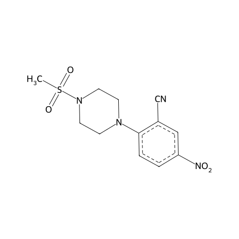 CS(=O)(=O)N1CCN(c2ccc([N+](=O)[O-])cc2C#N)CC1